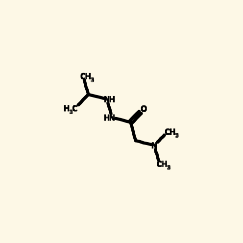 CC(C)NNC(=O)CN(C)C